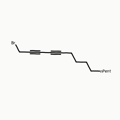 CCCCCCCCCC#CC#CCBr